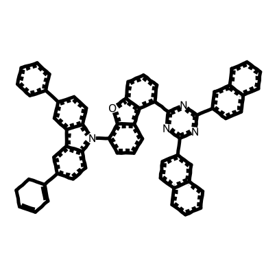 C1=CCCC(c2ccc3c(c2)c2cc(-c4ccccc4)ccc2n3-c2cccc3c2oc2cccc(-c4nc(-c5ccc6ccccc6c5)nc(-c5ccc6ccccc6c5)n4)c23)=C1